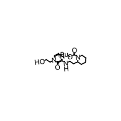 CC(C)(C)OC(=O)N1CCCCC1CCNc1nccn(CCO)c1=O